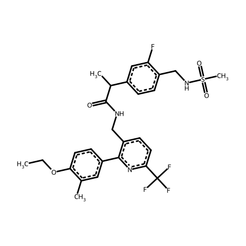 CCOc1ccc(-c2nc(C(F)(F)F)ccc2CNC(=O)C(C)c2ccc(CNS(C)(=O)=O)c(F)c2)cc1C